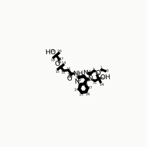 CCOCc1nc2c(NC(=O)CCC(C)(C)OCC(C)(C)O)nc3ccccc3c2n1CC(C)(C)O